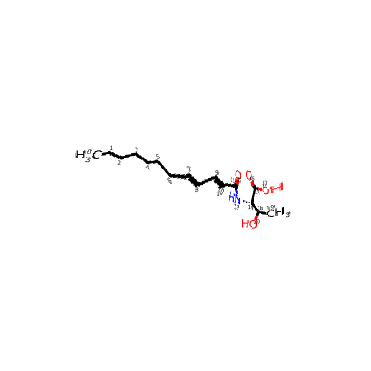 CCCCCCC/C=C/C=C/C(=O)N[C@H](C(=O)O)C(C)O